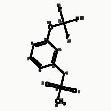 CS(=O)(=O)Cc1cccc(OC(F)(F)F)c1